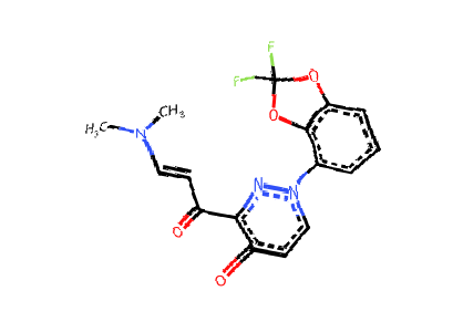 CN(C)C=CC(=O)c1nn(-c2cccc3c2OC(F)(F)O3)ccc1=O